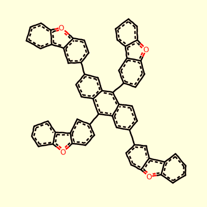 c1ccc2c(c1)oc1ccc(-c3ccc4c(-c5ccc6oc7ccccc7c6c5)c5cc(-c6ccc7oc8ccccc8c7c6)ccc5c(-c5ccc6oc7ccccc7c6c5)c4c3)cc12